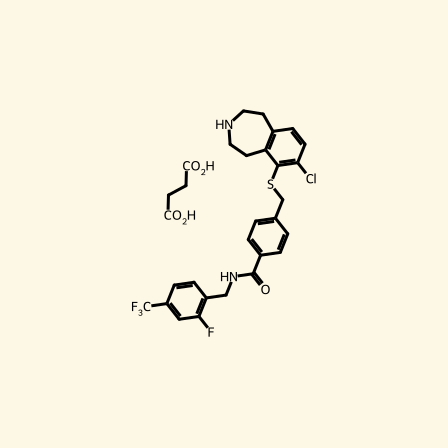 O=C(NCc1ccc(C(F)(F)F)cc1F)c1ccc(CSc2c(Cl)ccc3c2CCNCC3)cc1.O=C(O)CCC(=O)O